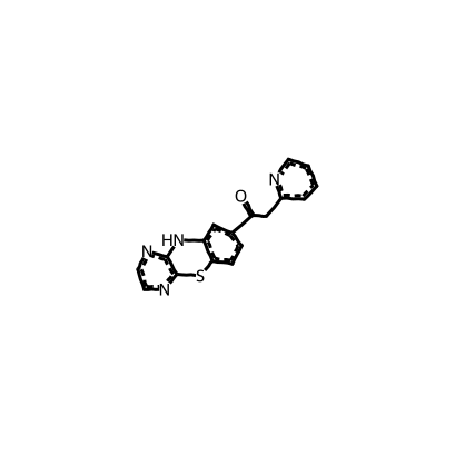 O=C(Cc1ccccn1)c1ccc2c(c1)Nc1nccnc1S2